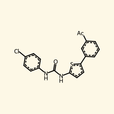 CC(=O)c1cccc(-c2ccc(NC(=O)Nc3ccc(Cl)cc3)s2)c1